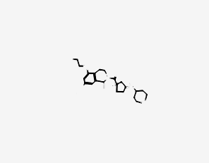 CC(C)[C@]1(C(=O)N2CCc3c(cc(C(F)(F)F)cc3SCCO)C2)CC[C@@H](NC2CCOCC2)C1